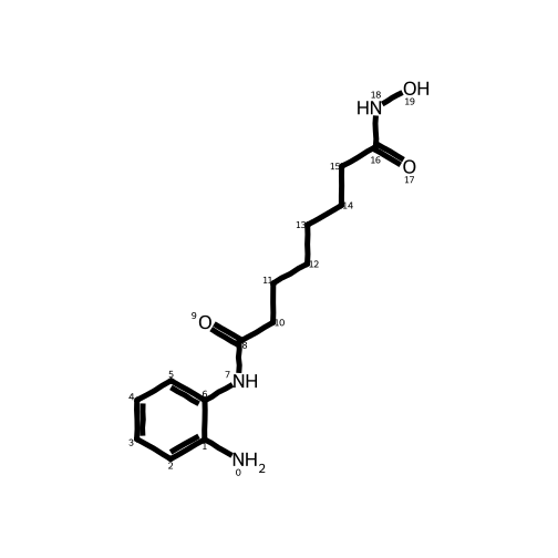 Nc1ccccc1NC(=O)CCCCCCC(=O)NO